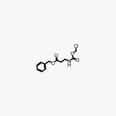 O=C(CCNC(=O)OCCl)OCc1ccccc1